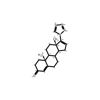 C[C@]12CCC(=O)C=C1CCC1C2CC[C@]2(C)C(n3cnnn3)=CCC12